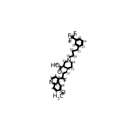 COc1ccc2nccc(C(F)CC[C@@H]3CCN(CCCCc4cccc(C(F)(F)F)c4)C[C@@H]3C(=O)O)c2c1